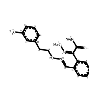 CNC(=O)C(=NOC)c1ccccc1/C=N/OCCc1cccc(C(F)(F)F)c1